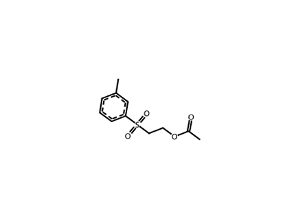 CC(=O)OCCS(=O)(=O)c1cccc(C)c1